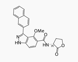 COc1c(C(=O)N[C@@H]2CCOC2=O)ccc2[nH]nc(-c3ccc4ccccc4c3)c12